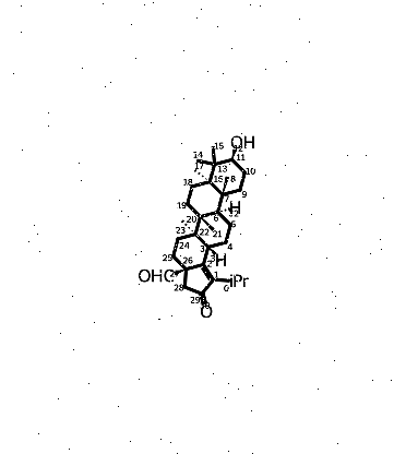 CC(C)C1=C2[C@H]3CC[C@@H]4[C@@]5(C)CC[C@H](O)C(C)(C)[C@]5(C)CC[C@@]4(C)[C@]3(C)CC[C@@]2(C=O)CC1=O